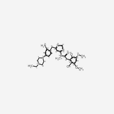 CCN1CCN(c2ccc(Cc3cc(N(C)C(=O)Cc4c(Cl)c(OC)cc(OC)c4Cl)ncn3)c(N)c2)CC1